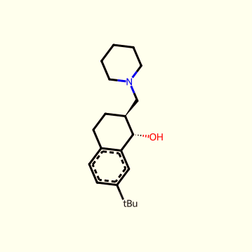 CC(C)(C)c1ccc2c(c1)[C@@H](O)[C@H](CN1CCCCC1)CC2